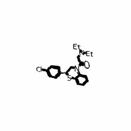 CCN(CC)CC(=O)N1C[C@H](c2ccc(Cl)cc2)Sc2ccccc21